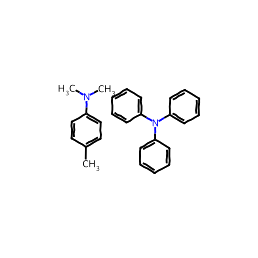 Cc1ccc(N(C)C)cc1.c1ccc(N(c2ccccc2)c2ccccc2)cc1